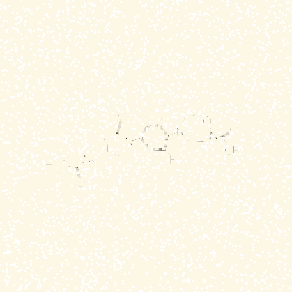 CC(=O)NC[C@H]1CN(c2cc(F)c(N3CCON(C(C)=O)CC3)c(F)c2)C(=O)O1